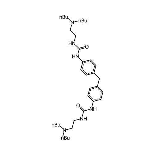 CCCCN(CCCC)CCNC(=O)Nc1ccc(Cc2ccc(NC(=O)NCCN(CCCC)CCCC)cc2)cc1